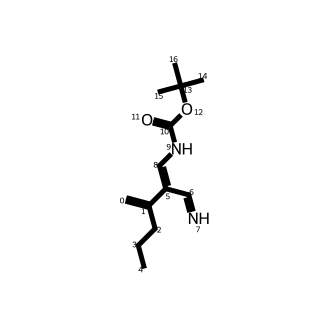 C=C(CCC)/C(C=N)=C/NC(=O)OC(C)(C)C